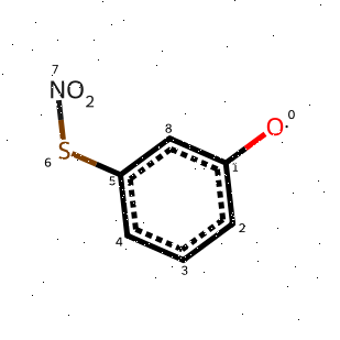 [O]c1cccc(S[N+](=O)[O-])c1